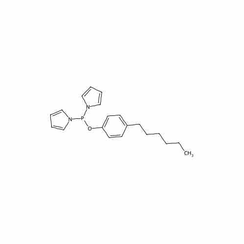 CCCCCCc1ccc(OP(n2cccc2)n2cccc2)cc1